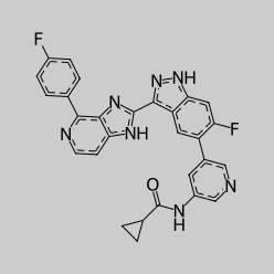 O=C(Nc1cncc(-c2cc3c(-c4nc5c(-c6ccc(F)cc6)nccc5[nH]4)n[nH]c3cc2F)c1)C1CC1